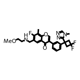 COCCNCc1cc2c(=O)c(-c3cccc(C4(c5nncn5C)CC(F)(F)C4)c3)coc2c(C)c1F